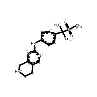 CC(C)(c1ccc(Nc2ncc3c(n2)CNCC3)cn1)S(C)(=O)=O